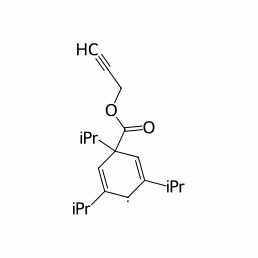 C#CCOC(=O)C1(C(C)C)C=C(C(C)C)[CH]C(C(C)C)=C1